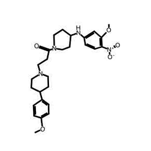 COc1ccc(C2CCN(CCC(=O)N3CCC(Nc4ccc([N+](=O)[O-])c(OC)c4)CC3)CC2)cc1